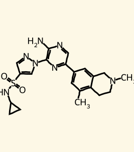 Cc1cc(-c2cnc(N)c(-n3cc(S(=O)(=O)NC4CC4)cn3)n2)cc2c1CCN(C)C2